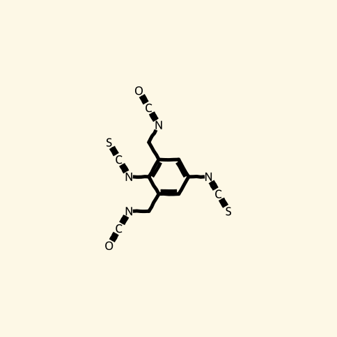 O=C=NCc1cc(N=C=S)cc(CN=C=O)c1N=C=S